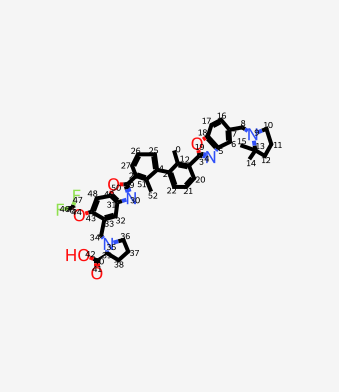 Cc1c(-c2nc3cc(CN4CCCC4(C)C)ccc3o2)cccc1-c1cccc(-c2nc3cc(CN4CCC[C@H]4C(=O)O)c(OC(F)F)cc3o2)c1C